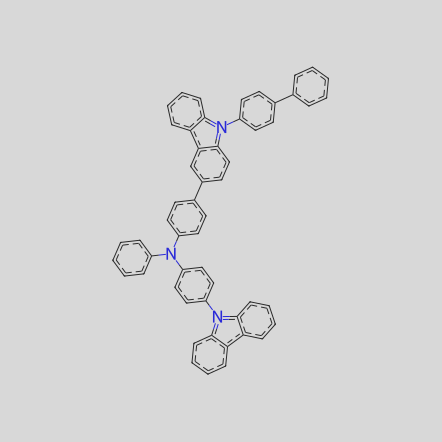 c1ccc(-c2ccc(-n3c4ccccc4c4cc(-c5ccc(N(c6ccccc6)c6ccc(-n7c8ccccc8c8ccccc87)cc6)cc5)ccc43)cc2)cc1